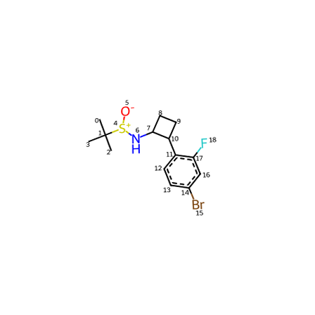 CC(C)(C)[S+]([O-])NC1CCC1c1ccc(Br)cc1F